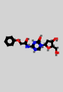 O=C(COc1ccccc1)Nc1ncn([C@H]2CC(O)[C@@H](CO)O2)c(=O)n1